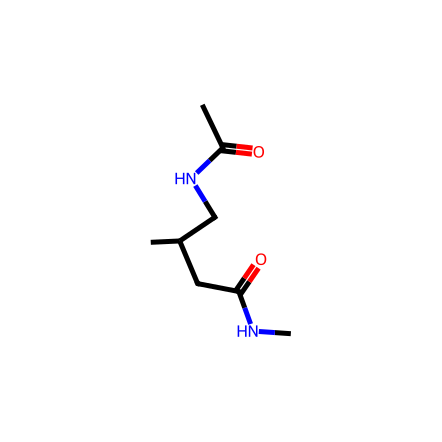 CNC(=O)CC(C)CNC(C)=O